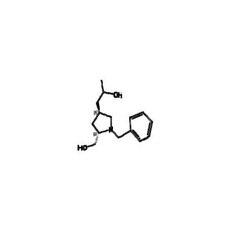 CC(O)C[C@@H]1C[C@@H](CO)N(Cc2ccccc2)C1